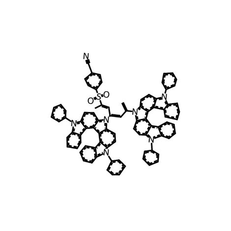 C=C(/C=C(\C=C(/C)S(=O)(=O)c1ccc(C#N)cc1)n1c2ccc3c(c4ccccc4n3-c3ccccc3)c2c2c3c4ccccc4n(-c4ccccc4)c3ccc21)n1c2ccc3c(c4ccccc4n3-c3ccccc3)c2c2c3c4ccccc4n(-c4ccccc4)c3ccc21